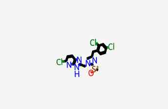 C[S+]([O-])C1=NC(Cc2ccc(Cl)cc2Cl)CN1Cc1nc2ccc(Cl)nc2[nH]1